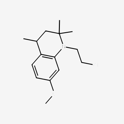 COc1ccc2c(c1)N(CCO)C(C)(C)CC2C